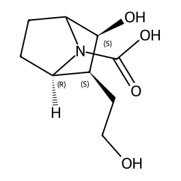 O=C(O)N1C2CC[C@@H]1[C@H](CCO)[C@@H]2O